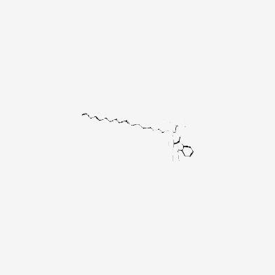 CCCCCCCCCCCCCCCCCCN[C@@H](Cc1c[nH]c2ccccc12)C(=O)O